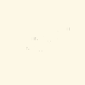 CCN(CC)C(=O)NC(=O)/C=C\C(=O)O